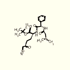 CN(C)CC(=O)N[C@H](C(=O)N[C@@H](CCC(=O)C=[N+]=[N-])C(=O)OC(C)(C)C)c1ccccc1